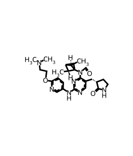 C[C@@H]1C2CC1(N(C=O)c1nc(Nc3ccc(OCCN(C)C)nc3)ncc1C[C@@H]1CCNC1=O)[C@@H]2C